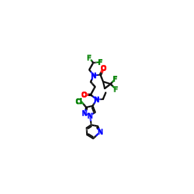 CCN(C(=O)CCN(CC(F)F)C(=O)C1CC1(F)F)c1cn(-c2cccnc2)nc1Cl